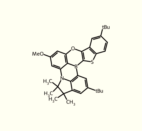 COc1cc2c3c(c1)N1c4c(cc(C(C)(C)C)cc4C(C)(C)C1(C)C)B3c1sc3ccc(C(C)(C)C)cc3c1O2